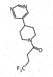 O=C(CCC(F)(F)F)N1CCC(c2cncnc2)CC1